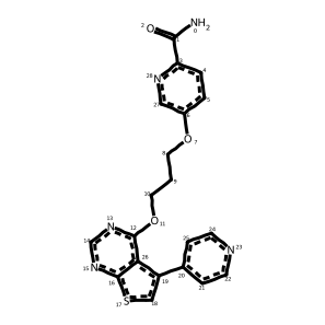 NC(=O)c1ccc(OCCCOc2ncnc3scc(-c4ccncc4)c23)cn1